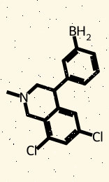 Bc1cccc(C2CN(C)Cc3c(Cl)cc(Cl)cc32)c1